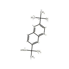 CCCCCCC(C)(C)c1ccc2nc(C(C)(C)CC)cnc2c1